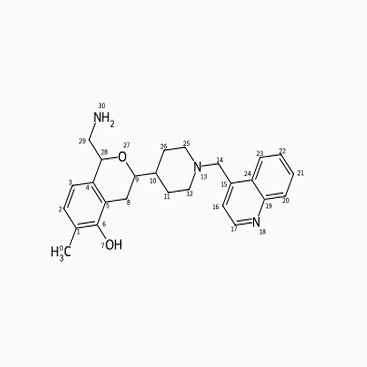 Cc1ccc2c(c1O)CC(C1CCN(Cc3ccnc4ccccc34)CC1)OC2CN